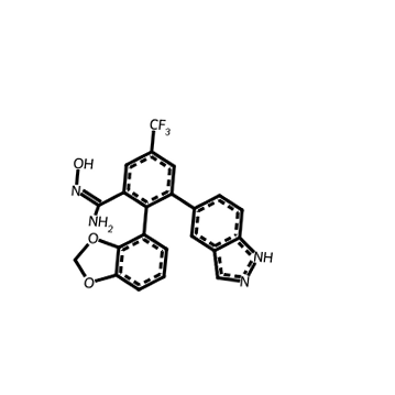 N/C(=N/O)c1cc(C(F)(F)F)cc(-c2ccc3[nH]ncc3c2)c1-c1cccc2c1OCO2